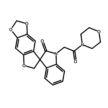 O=C(CN1C(=O)C2(COc3cc4c(cc32)OCO4)c2ccccc21)N1CCOCC1